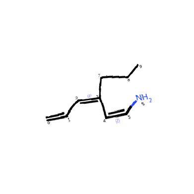 C=C/C=C(\C=C/N)CCC